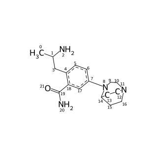 CC(N)Cc1ccc(N2CCN3CCC2CC3)cc1C(N)=O